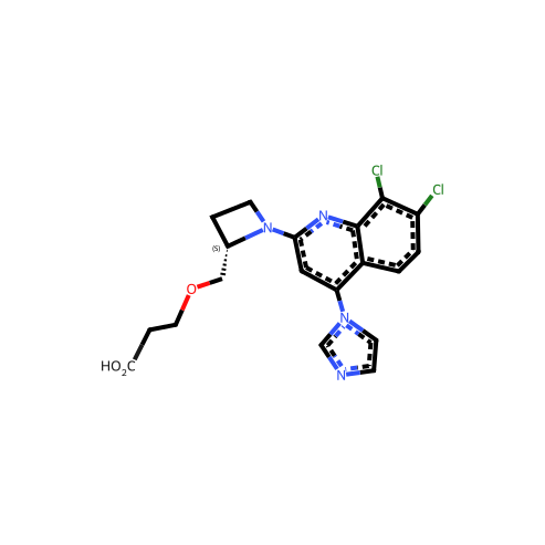 O=C(O)CCOC[C@@H]1CCN1c1cc(-n2ccnc2)c2ccc(Cl)c(Cl)c2n1